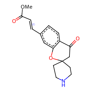 COC(=O)/C=C/c1ccc2c(c1)OC1(CCNCC1)CC2=O